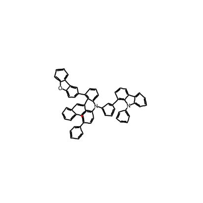 c1ccc(-c2ccc(N(c3cccc(-c4cccc5c6ccccc6n(-c6ccccc6)c45)c3)c3cccc(-c4ccc5oc6ccccc6c5c4)c3-c3ccc4ccccc4c3)cc2)cc1